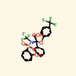 O=C(O)C(Oc1ccc(C(F)(F)F)cc1)(c1ccccc1)N(C(F)(F)F)S(=O)(=O)c1ccccc1O